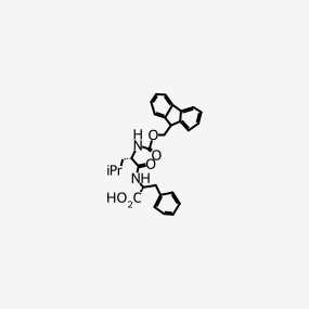 CC(C)C[C@H](NC(=O)OCC1c2ccccc2-c2ccccc21)C(=O)N[C@@H](Cc1ccccc1)C(=O)O